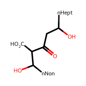 CCCCCCCCCC(O)C(C(=O)O)C(=O)CC(O)CCCCCCC